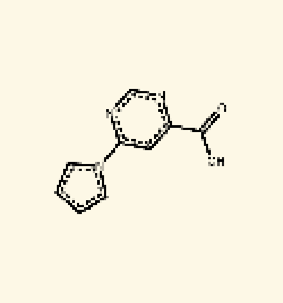 O=C(O)c1cc(-n2cccc2)ncn1